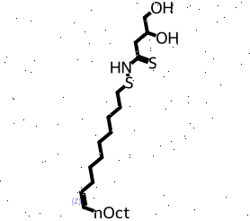 CCCCCCCC/C=C\CCCCCCCCSNC(=S)CC(O)CO